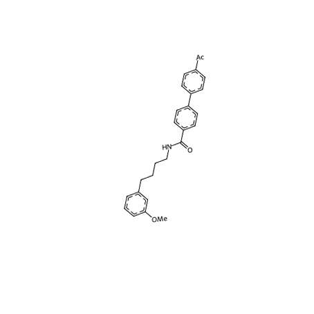 COc1cccc(CCCCNC(=O)c2ccc(-c3ccc(C(C)=O)cc3)cc2)c1